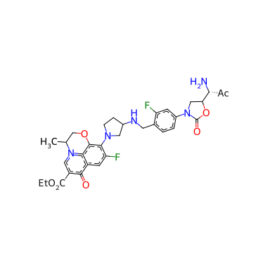 CCOC(=O)c1cn2c3c(c(N4CCC(NCc5ccc(N6CC([C@H](N)C(C)=O)OC6=O)cc5F)C4)c(F)cc3c1=O)OCC2C